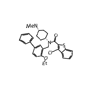 CCOc1ccc(-c2ccccc2)cc1CN(C(=O)c1sc2ccccc2c1Cl)[C@H]1CC[C@@H](NC)CC1